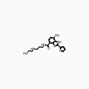 O=C(NCCCNCCO)c1ccc(O)c2[nH]c(-c3cccs3)nc12